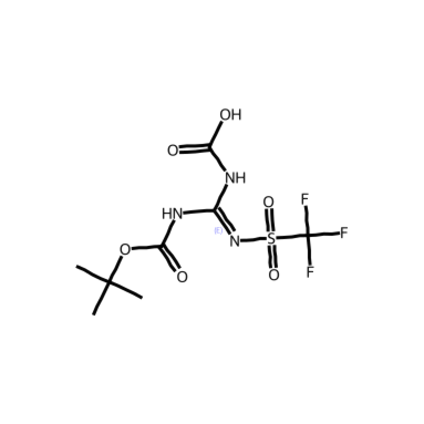 CC(C)(C)OC(=O)N/C(=N/S(=O)(=O)C(F)(F)F)NC(=O)O